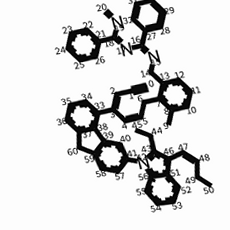 C#C/C=C(\C=C/Cc1c(C)cccc1C/N=C(\N=C(/N=C)c1ccccc1)C1=C=C=CC=C1)c1cccc2c1-c1cc(-n3c(CC)c(/C=C\CC)c4ccccc43)ccc1C2